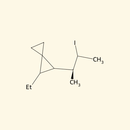 CCC1C([C@H](C)C(C)I)C12CC2